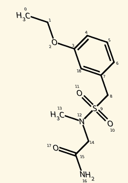 CCOc1cccc(CS(=O)(=O)N(C)CC(N)=O)c1